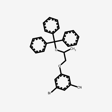 CC(COc1cc(Br)cc(C#N)c1)OC(c1ccccc1)(c1ccccc1)c1ccccc1